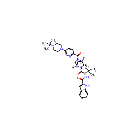 CC(C)(C)[C@H](NC(=O)c1cc2ccccc2[nH]1)C(=O)N1C[C@@H]2C[C@H]1CN2C(=O)c1ccc(N2CCN(C(C)(C)C)CC2)cn1